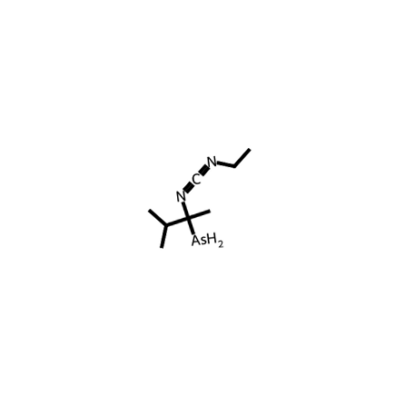 CCN=C=NC(C)([AsH2])C(C)C